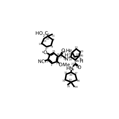 COc1cc(C#N)c(O[C@H]2CC[C@@](C)(C(=O)O)CC2)cc1C(=O)N[C@@H]1[C@H]2CC[C@H](C2)[C@@H]1C(=O)NC1CCC(C)(C)CC1